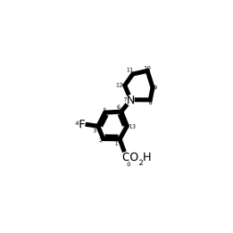 O=C(O)c1cc(F)cc(N2CCCCC2)c1